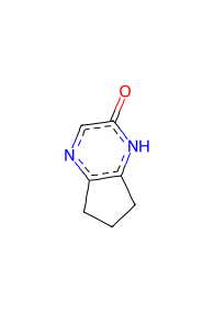 O=c1cnc2c([nH]1)CCC2